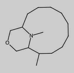 CC1CCCCCCCCC2COCC1N2C